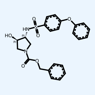 O=C(OCc1ccccc1)N1C[C@@H](O)[C@H](NS(=O)(=O)c2ccc(Oc3ccccc3)cc2)C1